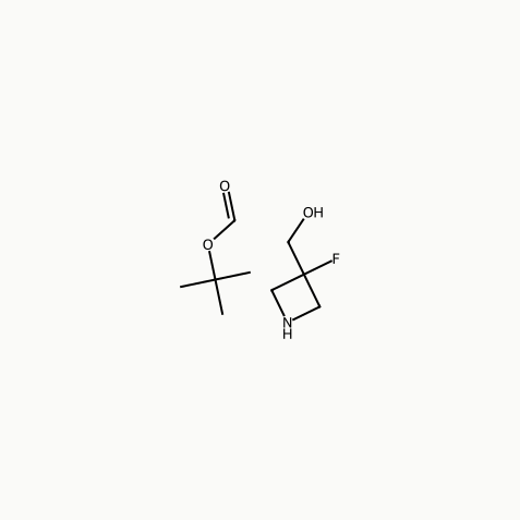 CC(C)(C)OC=O.OCC1(F)CNC1